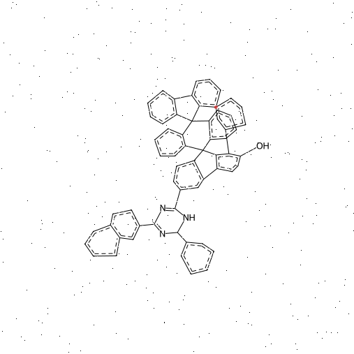 Oc1ccc2c(c1-c1ccccc1)C1(c3ccc(C4=NC(c5ccc6ccccc6c5)=NC(c5ccccc5)N4)cc3-2)c2ccccc2C2(c3ccccc3-c3ccccc32)c2ccccc21